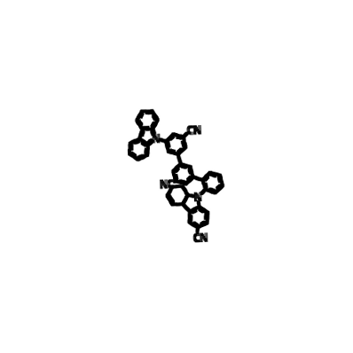 N#Cc1cc(-c2cc(C#N)cc(-n3c4ccccc4c4ccccc43)c2)cc(-c2ccccc2N2c3ccc(C#N)cc3C3C=CCCC32)c1